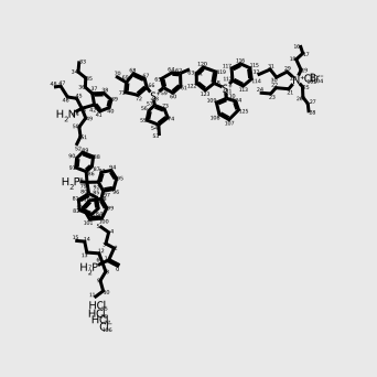 C=C(CCCC)C(P)(CCCC)CCCC.CCCC[N+](CCCC)(CCCC)CCCC.CCCCc1ccccc1C(N)(CCCC)CCCC.Cc1ccc([S+](c2ccc(C)cc2)c2ccc(C)cc2)cc1.Cl.Cl.Cl.PC(c1ccccc1)(c1ccccc1)c1ccccc1-c1ccccc1.[Br-].[Cl-].[Cl-].c1ccc([S+](c2ccccc2)c2ccccc2)cc1